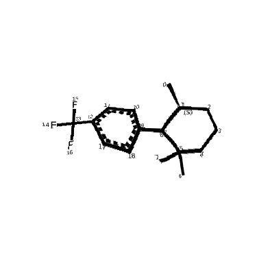 C[C@H]1CCCC(C)(C)[C]1c1ccc(C(F)(F)F)cc1